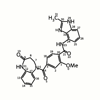 COc1cc(C(=O)N2CCC(=O)Nc3ccccc32)ccc1C(=O)Nc1cccc2[nH]c(C)nc12